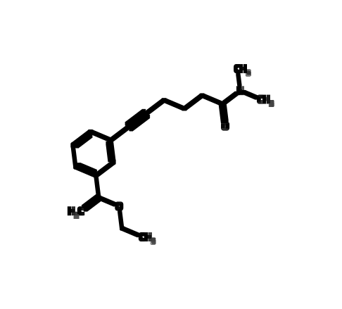 C=C(OCC)c1cccc(C#CCCCC(=O)N(C)C)c1